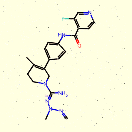 C=NN(C)/N=C(\N)N1CCC(C)=C(c2ccc(NC(=O)c3ccncc3F)cc2)C1